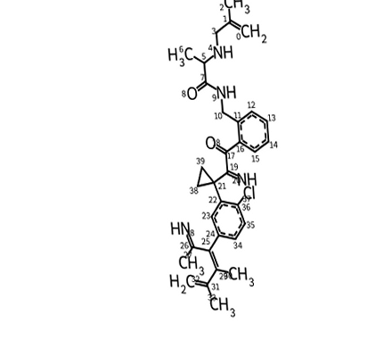 C=C(C)CNC(C)C(=O)NCc1ccccc1C(=O)C(=N)C1(c2cc(/C(C(C)=N)=C(\C)C(=C)C)ccc2Cl)CC1